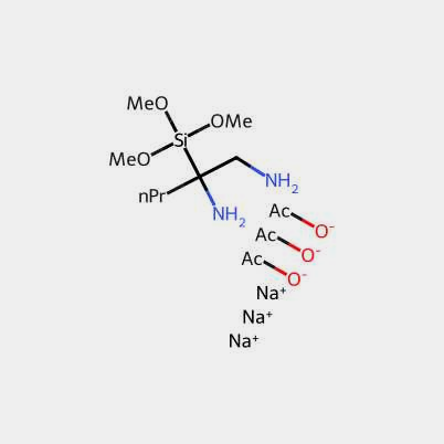 CC(=O)[O-].CC(=O)[O-].CC(=O)[O-].CCCC(N)(CN)[Si](OC)(OC)OC.[Na+].[Na+].[Na+]